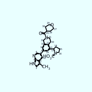 Cc1c[nH]c2ncc(-c3cc4c(c(C5CCCN5C(=O)O)c3)CCN(C(=O)C3CCOCC3)C4)cc12